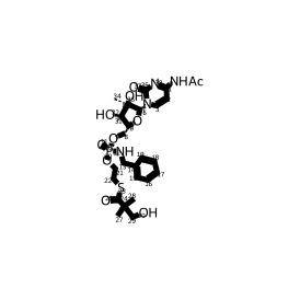 CC(=O)Nc1ccn([C@@H]2O[C@H](COP(=O)(NCc3ccccc3)OCCSC(=O)C(C)(C)CO)[C@@H](O)[C@@]2(C)O)c(=O)n1